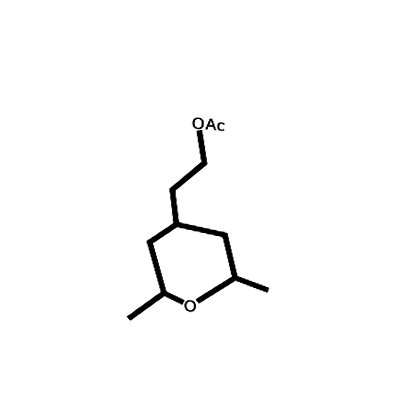 CC(=O)OCCC1CC(C)OC(C)C1